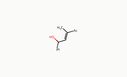 CC(=O)C(C)=CC(O)C(C)C